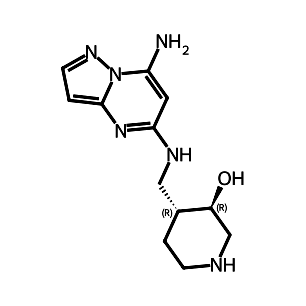 Nc1cc(NC[C@H]2CCNC[C@@H]2O)nc2ccnn12